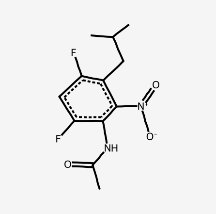 CC(=O)Nc1c(F)cc(F)c(CC(C)C)c1[N+](=O)[O-]